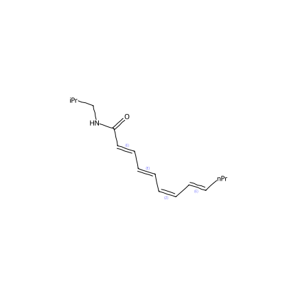 CCC/C=C/C=C\C=C\C=C\C(=O)NCC(C)C